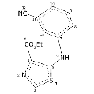 CCOC(=O)c1ncsc1Nc1cccc(C#N)c1